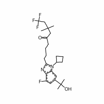 CC(C)(CC(=O)CCCCc1nc2c(F)cc(C(C)(C)O)cc2n1C1CCC1)CC(F)(F)F